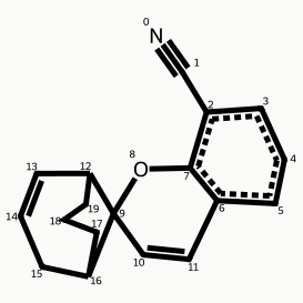 N#Cc1cccc2c1OC1(C=C2)C2C=CCC1CCC2